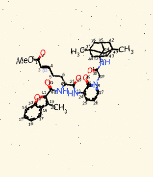 COC(=O)/C=C/CC[C@H](NC(=O)c1oc2ccccc2c1C)C(=O)Nc1cccn(CC(=O)NC23CC4CC(C)(CC(C)(C4)C2)C3)c1=O